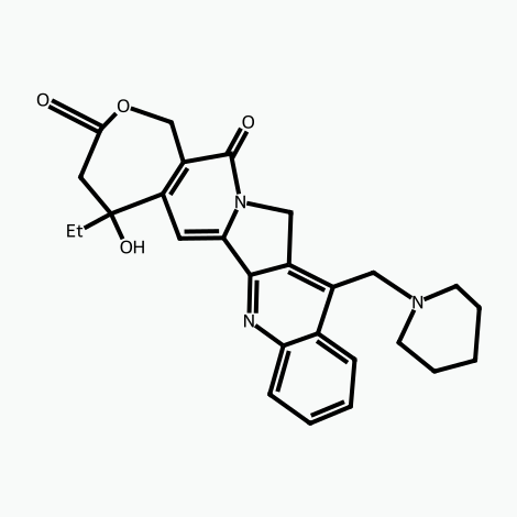 CCC1(O)CC(=O)OCc2c1cc1n(c2=O)Cc2c-1nc1ccccc1c2CN1CCCCC1